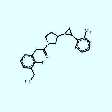 CCc1cccc(CC(=O)N2CCC(C3CC3c3nccnc3C)C2)c1F